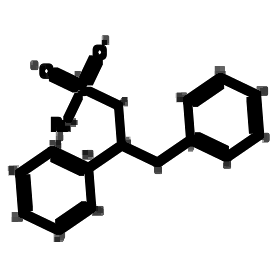 O=[S](=O)([Ru+])CC(Cc1ccccc1)c1ccccc1